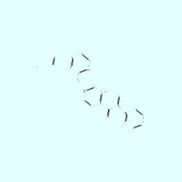 CC(=O)Oc1ccccc1Oc1ccc2c(=O)c(-c3ccccc3)coc2c1